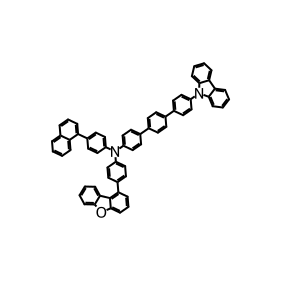 c1ccc2c(-c3ccc(N(c4ccc(-c5ccc(-c6ccc(-n7c8ccccc8c8ccccc87)cc6)cc5)cc4)c4ccc(-c5cccc6oc7ccccc7c56)cc4)cc3)cccc2c1